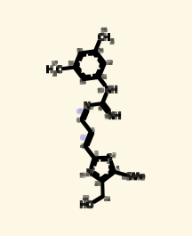 CSc1sc(/C=C/C=N\C(=N)Nc2cc(C)cc(C)c2)nc1CO